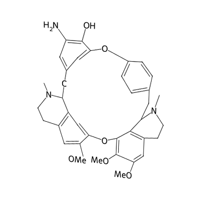 COc1cc2c3cc1Oc1c(OC)c(OC)cc4c1C(Cc1ccc(cc1)Oc1cc(cc(N)c1O)CC3N(C)CC2)N(C)CC4